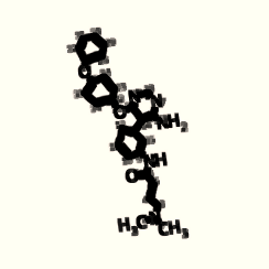 CN(C)C/C=C/C(=O)Nc1cccc(-c2c(N)ncnc2Oc2ccc(Oc3ccccc3)cc2)c1